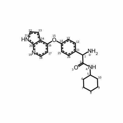 NC(C(=O)NC1CCCCC1)c1ccc(Oc2ccnc3[nH]ccc23)cc1